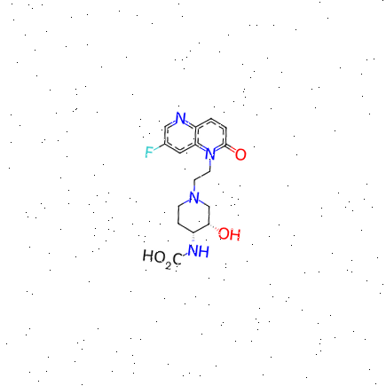 O=C(O)N[C@@H]1CCN(CCn2c(=O)ccc3ncc(F)cc32)C[C@@H]1O